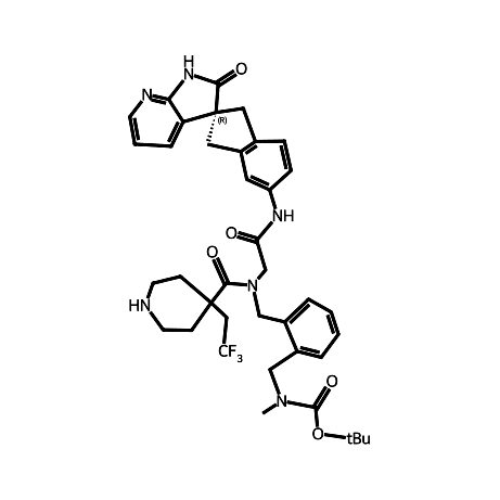 CN(Cc1ccccc1CN(CC(=O)Nc1ccc2c(c1)C[C@@]1(C2)C(=O)Nc2ncccc21)C(=O)C1(CC(F)(F)F)CCNCC1)C(=O)OC(C)(C)C